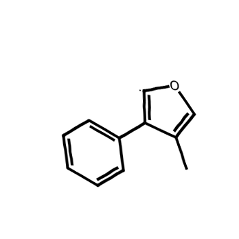 Cc1co[c]c1-c1ccccc1